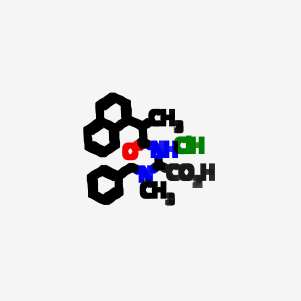 CC(C(=O)NC(C(=O)O)N(C)Cc1ccccc1)c1cccc2ccccc12.Cl